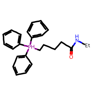 CCNC(=O)CCCC[PH](c1ccccc1)(c1ccccc1)c1ccccc1